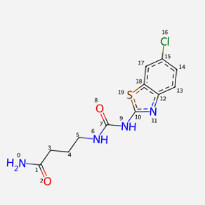 NC(=O)CCCNC(=O)Nc1nc2ccc(Cl)cc2s1